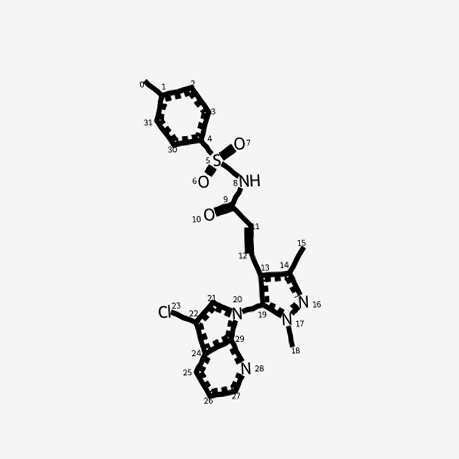 Cc1ccc(S(=O)(=O)NC(=O)C=Cc2c(C)nn(C)c2-n2cc(Cl)c3cccnc32)cc1